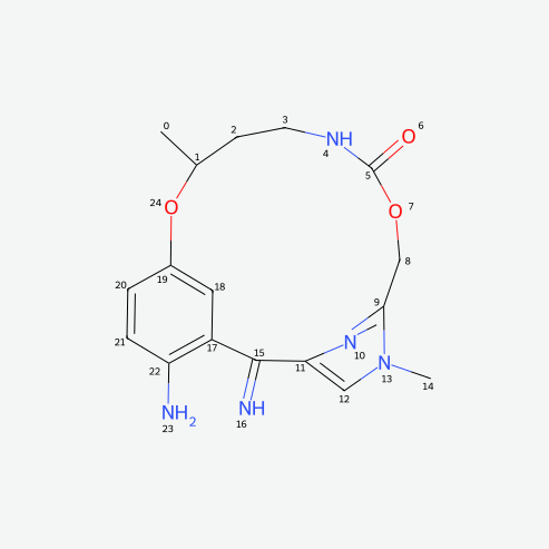 CC1CCNC(=O)OCc2nc(cn2C)C(=N)c2cc(ccc2N)O1